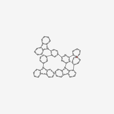 c1ccc(-c2nc(-c3ccc(-n4c5ccccc5c5ccccc54)c(-c4cccc(-n5c6ccccc6c6ccccc65)c4)c3)nc(-n3c4ccccc4c4cccc(-c5ccccc5)c43)n2)cc1